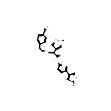 C[C@H](CNCC(C(=O)Nc1ccc(-c2cnn(C)c2)cn1)c1cnn(C)c1)c1ccc(C#N)cc1